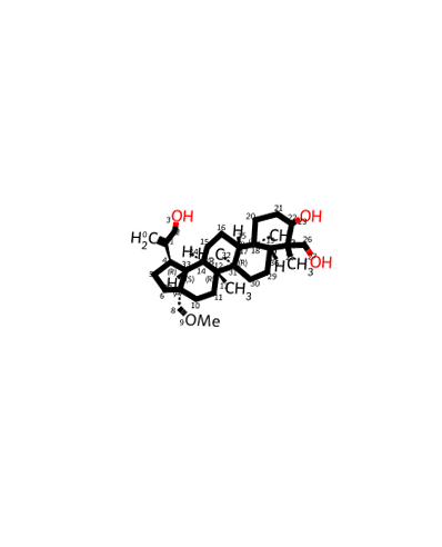 C=C(CO)[C@@H]1CC[C@]2(COC)CC[C@]3(C)[C@H](CC[C@@H]4[C@@]5(C)CCC(O)C(C)(CO)[C@@H]5CC[C@]43C)[C@@H]12